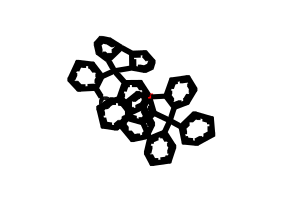 c1ccc(C2(c3ccccc3-c3cc4c(c5ccccc35)Oc3ccccc3C43c4ccccc4-c4ccccc43)c3ccccc3-c3c2ccc2ccccc32)cc1